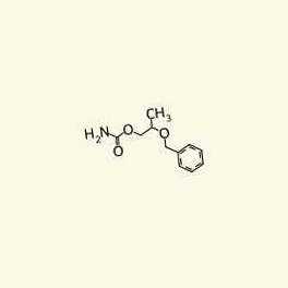 CC(COC(N)=O)OCc1ccccc1